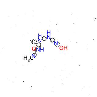 Cn1ccc(C(=O)Nc2ccc(Nc3ccc(Nc4ccc(N5CCC(O)CC5)cc4)cc3)c(C#N)c2)c1